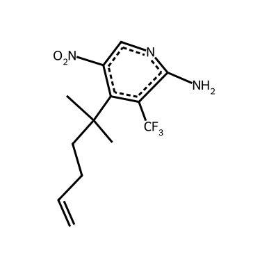 C=CCCC(C)(C)c1c([N+](=O)[O-])cnc(N)c1C(F)(F)F